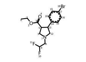 CCOC(=O)C1CN(CC(F)F)CC1c1ccc(Br)cc1